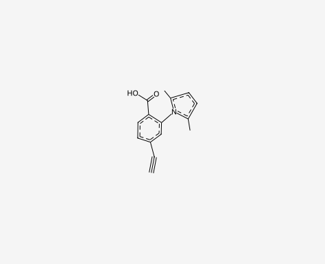 C#Cc1ccc(C(=O)O)c(-n2c(C)ccc2C)c1